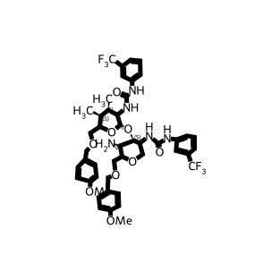 COc1ccc(COCC2O[C@@H](O[C@@H]3C(NC(=O)Nc4cccc(C(F)(F)F)c4)COC(COCc4ccc(OC)cc4)[C@@H]3N)C(NC(=O)Nc3cccc(C(F)(F)F)c3)[C@@H](C)[C@@H]2C)cc1